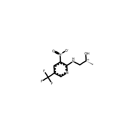 C[C@@H](O)CNc1ncc(C(F)(F)F)cc1[N+](=O)[O-]